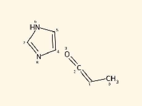 CC=C=O.c1c[nH]cn1